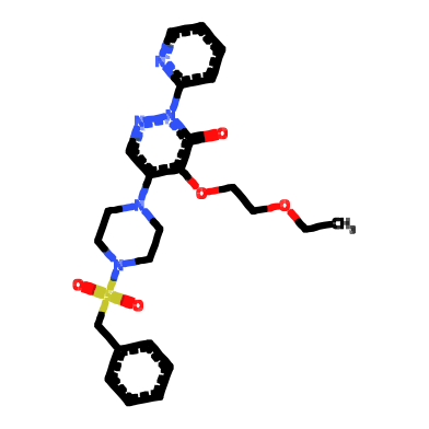 CCOCCOc1c(N2CCN(S(=O)(=O)Cc3ccccc3)CC2)cnn(-c2ccccn2)c1=O